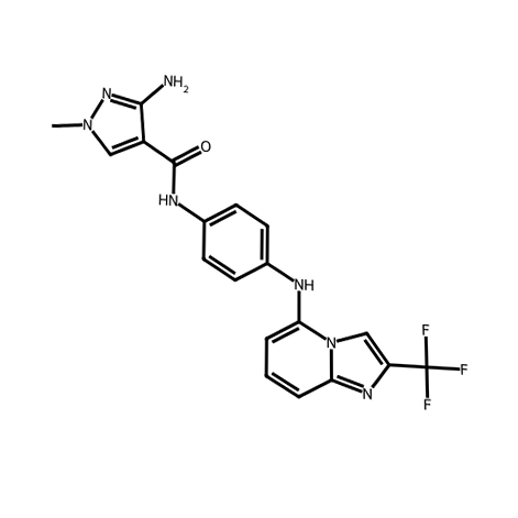 Cn1cc(C(=O)Nc2ccc(Nc3cccc4nc(C(F)(F)F)cn34)cc2)c(N)n1